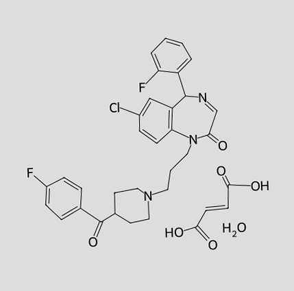 O.O=C(O)/C=C/C(=O)O.O=C(c1ccc(F)cc1)C1CCN(CCCN2C(=O)C=NC(c3ccccc3F)c3cc(Cl)ccc32)CC1